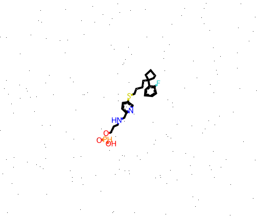 O=[PH](O)OCCCNCc1ccc(SCCCCC2(c3ccccc3F)CCCC2)cn1